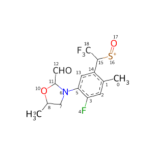 Cc1cc(F)c(N2CC(C)OC2C=O)cc1C([S+]=O)C(F)(F)F